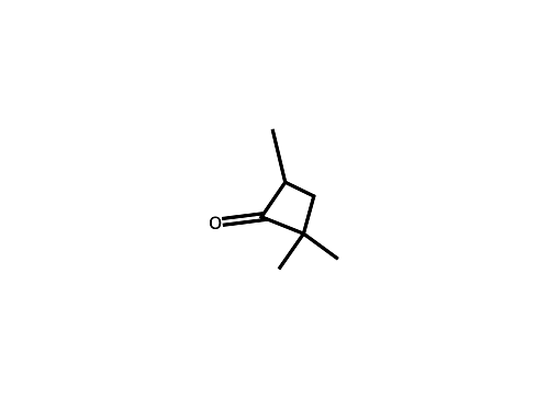 CC1CC(C)(C)C1=O